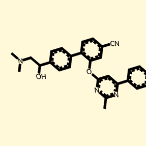 Cc1nc(Oc2cc(C#N)ccc2-c2ccc(C(O)CN(C)C)cc2)cc(-c2ccccc2)n1